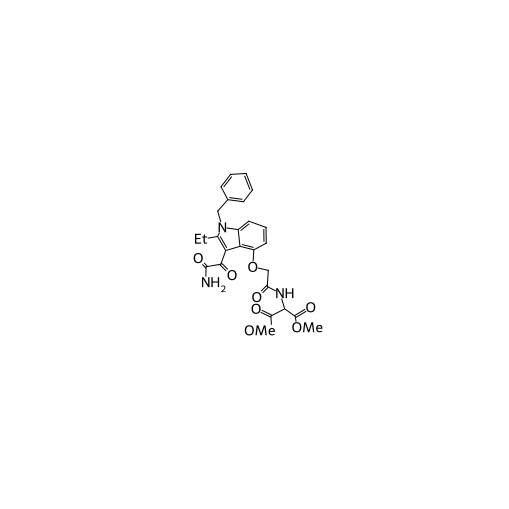 CCc1c(C(=O)C(N)=O)c2c(OCC(=O)NC(C(=O)OC)C(=O)OC)cccc2n1Cc1ccccc1